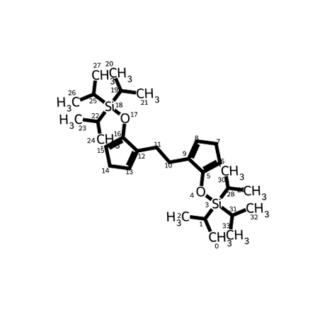 CC(C)[Si](OC1=[C]CC=C1CCC1=CC[C]=C1O[Si](C(C)C)(C(C)C)C(C)C)(C(C)C)C(C)C